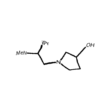 CNC(CN1CCC(O)C1)C(C)C